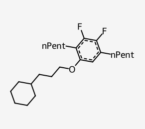 CCCCCc1cc(OCCCC2CCCCC2)c(CCCCC)c(F)c1F